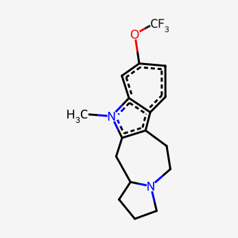 Cn1c2c(c3ccc(OC(F)(F)F)cc31)CCN1CCCC1C2